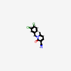 Cc1ccc(C#N)c(=O)n1Cc1ccc(Cl)c(Cl)c1